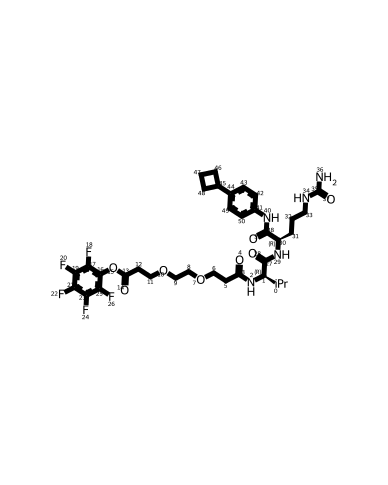 CC(C)[C@@H](NC(=O)CCOCCOCCC(=O)Oc1c(F)c(F)c(F)c(F)c1F)C(=O)N[C@H](CCCNC(N)=O)C(=O)Nc1ccc(C2CCC2)cc1